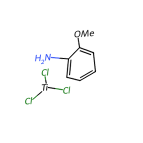 COc1ccccc1N.[Cl][Ti]([Cl])[Cl]